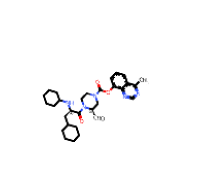 Cc1ncnc2c(OC(=O)N3CCN(C(=O)[C@@H](CC4CCCCC4)NC4CCCCC4)[C@H](C=O)C3)cccc12